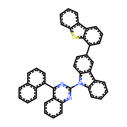 c1ccc2c(-c3nc(-n4c5ccccc5c5cc(-c6cccc7c6sc6ccccc67)ccc54)nc4ccccc34)cccc2c1